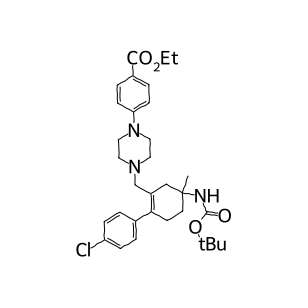 CCOC(=O)c1ccc(N2CCN(CC3=C(c4ccc(Cl)cc4)CCC(C)(NC(=O)OC(C)(C)C)C3)CC2)cc1